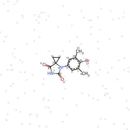 Cc1cc(N2C(=O)NC(=O)C23CC3)cc(C)c1Br